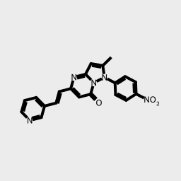 Cc1cc2nc(/C=C/c3cccnc3)cc(=O)n2n1-c1ccc([N+](=O)[O-])cc1